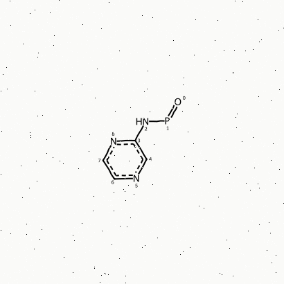 O=PNc1cnccn1